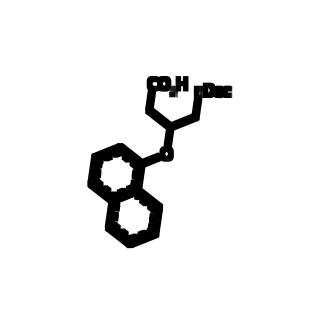 CCCCCCCCCCCC(CC(=O)O)Oc1cccc2ccccc12